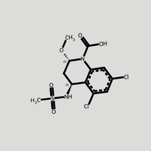 CO[C@H]1C[C@H](NS(C)(=O)=O)c2c(Cl)cc(Cl)cc2N1C(=O)O